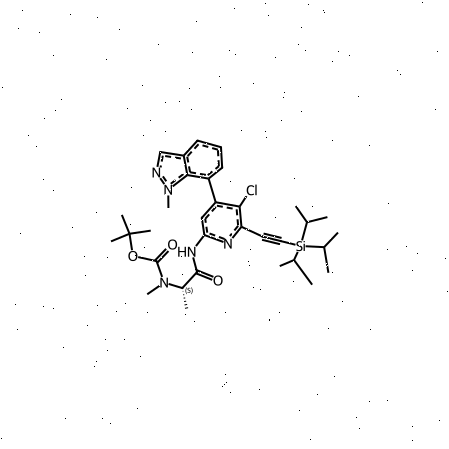 CC(C)[Si](C#Cc1nc(NC(=O)[C@H](C)N(C)C(=O)OC(C)(C)C)cc(-c2cccc3cnn(C)c23)c1Cl)(C(C)C)C(C)C